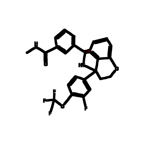 CNC(=O)c1cccc(C(=O)NC2(c3ccc(OC(F)(F)F)c(F)c3)CCOc3cccnc32)c1